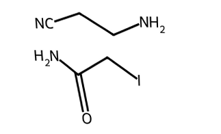 N#CCCN.NC(=O)CI